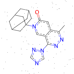 Cc1nnc(-n2cncn2)c2cn(C34CC5CC(CC(C5)C3)C4)c(=O)cc12